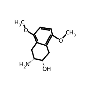 COc1ccc(OC)c2c1C[C@@H](N)[C@@H](O)C2